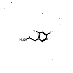 Fc1ccc(CC[SiH3])c(F)c1